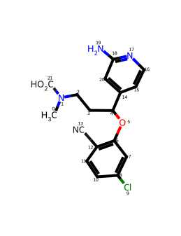 CN(CCC(Oc1cc(Cl)ccc1C#N)c1ccnc(N)c1)C(=O)O